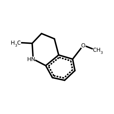 COc1cccc2c1CCC(C)N2